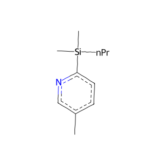 CCC[Si](C)(C)c1ccc(C)cn1